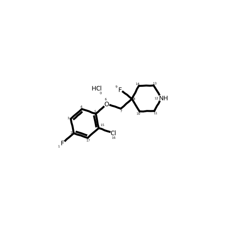 Cl.Fc1ccc(OCC2(F)CCNCC2)c(Cl)c1